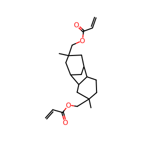 C=CC(=O)OCC1(C)CC2CC(C1)C1CC(C)(COC(=O)C=C)CCC21